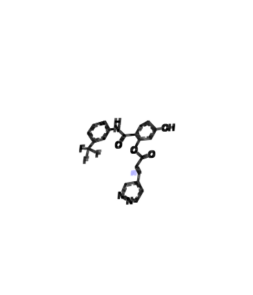 O=C(/C=C/c1ccnnc1)Oc1cc(O)ccc1C(=O)Nc1cccc(C(F)(F)F)c1